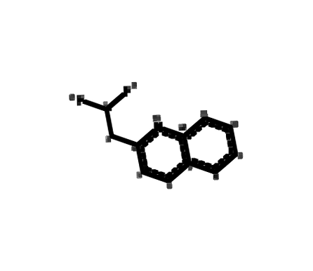 F[C](F)Cc1ccc2ccccc2n1